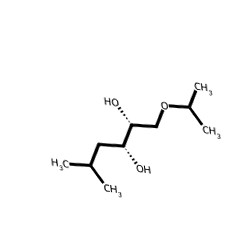 CC(C)C[C@@H](O)[C@H](O)COC(C)C